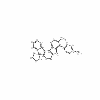 Cc1ccc(-c2c(C)ccc3c2oc2ccc4c(c23)-c2ccccc2C42CCCC2)nc1